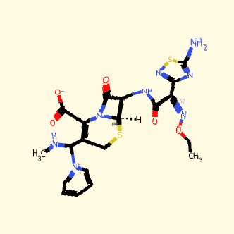 CCO/N=C(\C(=O)NC1C(=O)N2C(C(=O)[O-])=C(C(NC)[n+]3ccccc3)CS[C@H]12)c1nsc(N)n1